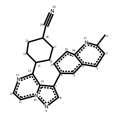 Cc1ccc2cc(-c3cnn4ccnc(C5CCC(C#N)CC5)c34)ccc2n1